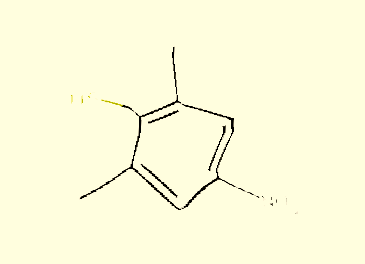 Cc1cc([N+](=O)[O-])cc(C)c1S